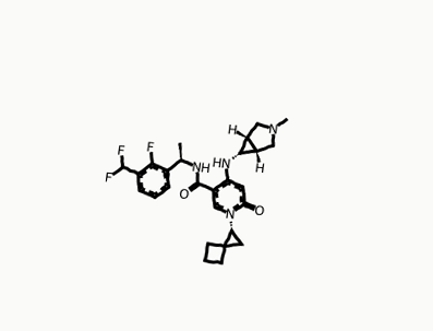 C[C@@H](NC(=O)c1cn([C@@H]2CC23CCC3)c(=O)cc1N[C@@H]1[C@@H]2CN(C)C[C@@H]21)c1cccc(C(F)F)c1F